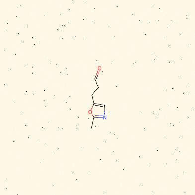 Cc1ncc(CCC=O)o1